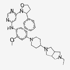 CCN1CC2CN(C3CCN(c4ccc(Nc5cc(N6OCCC6c6ccccc6)ncn5)c(OC)c4)CC3)CC2C1